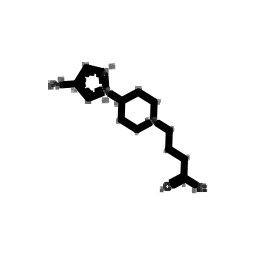 CCC(=O)CCCN1CCC(n2cc(C(C)C)cn2)CC1